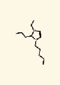 CCCCCN1C=CN(CC)C1CCC